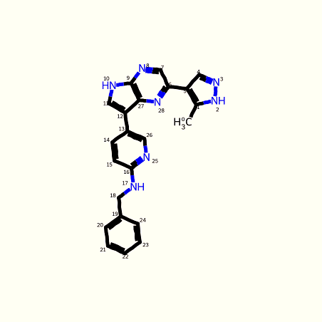 Cc1[nH]ncc1-c1cnc2[nH]cc(-c3ccc(NCc4ccccc4)nc3)c2n1